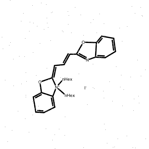 CCCCCC[N+]1(CCCCCC)C(=CC=Cc2nc3ccccc3o2)Oc2ccccc21.[I-]